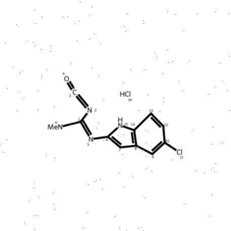 CNC(N=C=O)=Nc1cc2cc(Cl)ccc2[nH]1.Cl